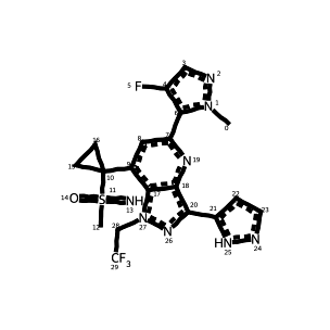 Cn1ncc(F)c1-c1cc(C2(S(C)(=N)=O)CC2)c2c(n1)c(-c1ccn[nH]1)nn2CC(F)(F)F